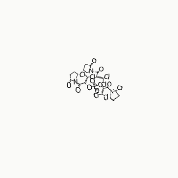 O=C1CCCN1C(=O)C(OP(=O)(OC(C(=O)N1CCCC1=O)=C(Cl)Cl)OC(C(=O)N1CCCC1=O)=C(Cl)Cl)=C(Cl)Cl